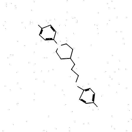 Oc1ccc(N2CCC(CCCOc3ccc(Cl)cc3)CC2)cc1